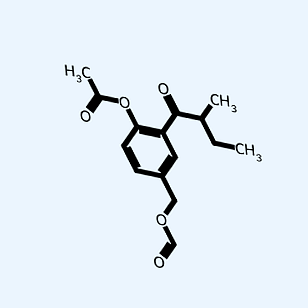 CCC(C)C(=O)c1cc(COC=O)ccc1OC(C)=O